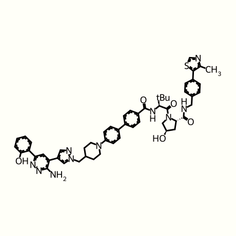 Cc1ncsc1-c1ccc(CNC(=O)[C@@H]2C[C@@H](O)CN2C(=O)[C@@H](NC(=O)c2ccc(-c3ccc(N4CCC(Cn5cc(-c6cc(-c7ccccc7O)nnc6N)cn5)CC4)cc3)cc2)C(C)(C)C)cc1